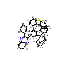 c1ccc(-c2nc3ccccc3nc2-c2cc(-c3cccc4sc5ccccc5c34)c3c(c2)C2(c4ccccc4-3)C3CC4CC(C3)CC2C4)cc1